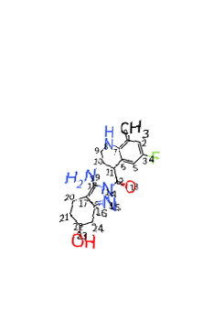 Cc1cc(F)cc2c1NCCC2C(=O)n1nc2c(c1N)CCC(O)C2